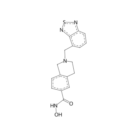 O=C(NO)c1ccc2c(c1)CCN(Cc1cccc3nsnc13)C2